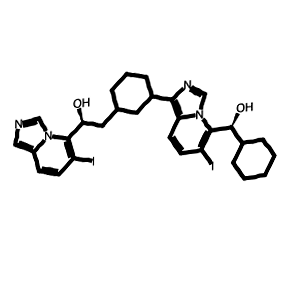 O[C@H](c1c(I)ccc2c(C3CCCC(C[C@H](O)c4c(I)ccc5cncn45)C3)ncn12)C1CCCCC1